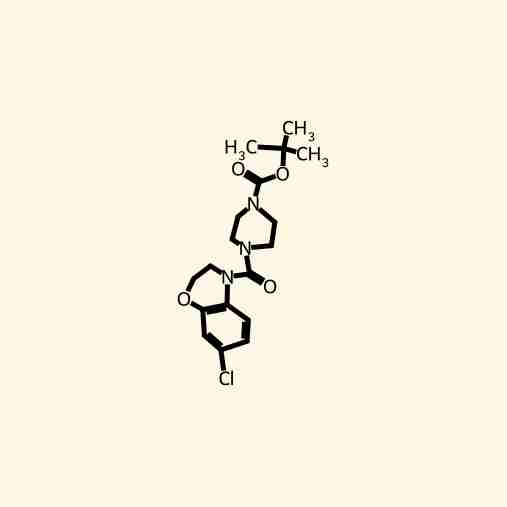 CC(C)(C)OC(=O)N1CCN(C(=O)N2CCOc3cc(Cl)ccc32)CC1